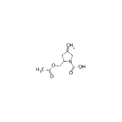 C=C1CC(COC(C)=O)N(C(=O)O)C1